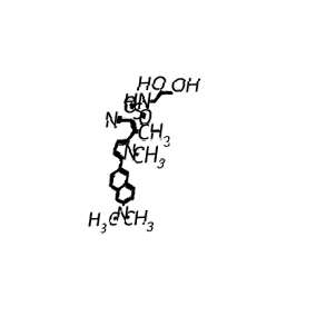 C/C(=C(/C#N)S(=O)(=O)NCC(O)CO)c1ccc(-c2ccc3cc(N(C)C)ccc3c2)n1C